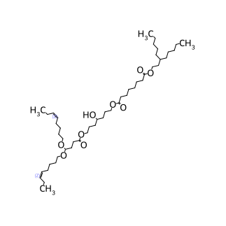 CC/C=C\CCCCOC(CCC(=O)OCCCC(O)CCCOC(=O)CCCCCCC(=O)OCCC(CCCCC)CCCCC)OCCCC/C=C\CC